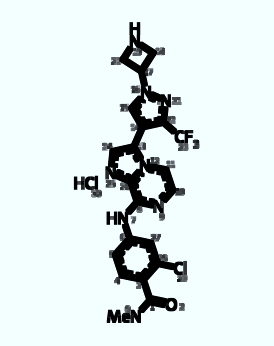 CNC(=O)c1ccc(Nc2nccn3c(-c4cn(C5CNC5)nc4C(F)(F)F)cnc23)cc1Cl.Cl